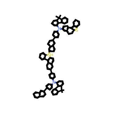 CC1(C)c2ccccc2-c2c(N(c3ccc(-c4ccc5ccccc5c4)cc3)c3ccc(-c4ccc5c6c(ccc5c4)[SH](c4ccc5cc(-c7ccc(N(c8ccc9c(ccc%10sc%11ccccc%11c%109)c8)c8cccc9c8-c8ccccc8C9(C)C)cc7)ccc5c4)c4ccccc4-6)cc3)cccc21